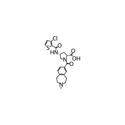 CN1CCc2ccc(C(=O)N3C[C@H](NC(=O)c4sccc4Cl)C[C@H]3C(=O)O)cc2CC1